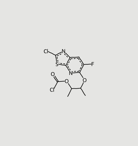 CC(OC(=O)Cl)C(C)Oc1nc2sc(Cl)nc2cc1F